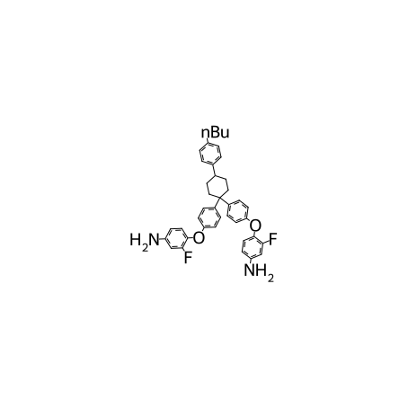 CCCCc1ccc(C2CCC(c3ccc(Oc4ccc(N)cc4F)cc3)(c3ccc(Oc4ccc(N)cc4F)cc3)CC2)cc1